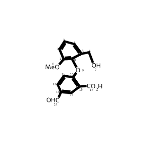 COc1cccc(CO)c1Oc1ccc(C=O)cc1C(=O)O